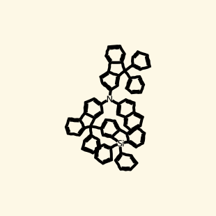 c1ccc(C2(c3ccccc3)c3ccccc3-c3ccc(N(c4ccc5c(c4)C(c4ccccc4)(c4ccc6c(c4)[Si](c4ccccc4)(c4ccccc4)c4ccccc4-6)c4ccccc4-5)c4ccc5ccccc5c4)cc32)cc1